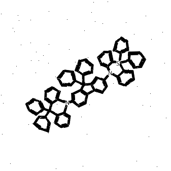 c1ccc(C2(c3ccccc3)c3cc(N4c5ccccc5C(c5ccccc5)(c5ccccc5)c5ccccc54)ccc3-c3ccc(N4c5ccccc5[Si](c5ccccc5)(c5ccccc5)c5ccccc54)cc32)cc1